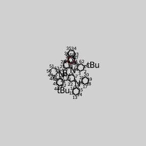 CC(C)(C)c1ccc(N2c3cc(N(c4ccccc4)c4ccccc4)cc4c3B(c3ccc5c(sc6ccccc65)c32)N2c3c-4cc(C(C)(C)C)cc3C3(C)CCCCC23C)c(-c2ccccc2)c1